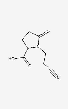 N#CCCN1C(=O)CCC1C(=O)O